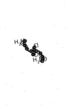 Cc1cccc(C(=O)N2CCC(N3CCC(Cc4ccc(S(=O)(=O)c5ccc(CC6CCN(C7CCN(C(=O)c8cccc(C)c8N)CC7)CC6)cc5-c5cccc(Cl)c5)c(-c5cccc(Cl)c5)c4)CC3)CC2)c1N